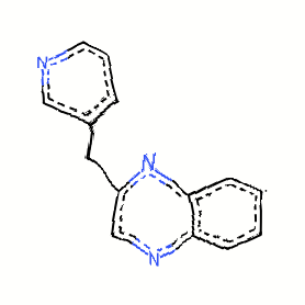 [c]1ccc2ncc(Cc3cccnc3)nc2c1